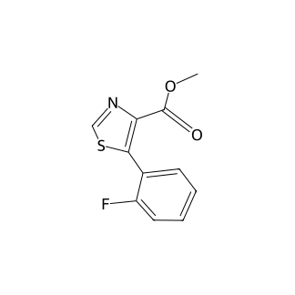 COC(=O)c1ncsc1-c1ccccc1F